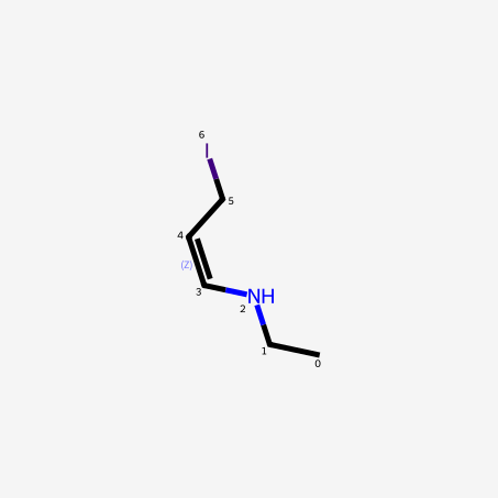 CCN/C=C\CI